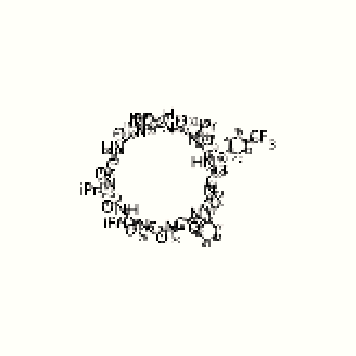 CC[C@H](C)[C@@H]1NC(=O)[C@H](CC(C)C)N(C)C(=O)C[C@@H](C)NC(=O)[C@H](CC(C)C)N(C)C(=O)C(C)(C)NC(=O)[C@H](CC(C)C)N(C)C(=O)[C@H](CCc2ccc(C(F)(F)F)cc2)NC(=O)CN(C)C(=O)[C@H](CC2CCCCC2)N(C)C(=O)CN(C)C(=O)CN(C)C1=O